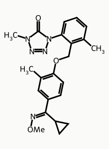 CO/N=C(/c1ccc(OCc2c(C)cccc2-n2nnn(C)c2=O)c(C)c1)C1CC1